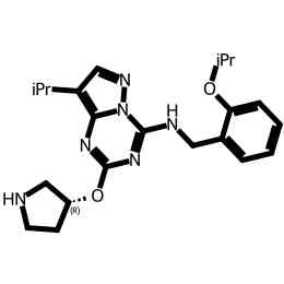 CC(C)Oc1ccccc1CNc1nc(O[C@@H]2CCNC2)nc2c(C(C)C)cnn12